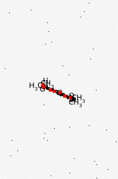 CCC(C)C(=O)CCCCCOCCCCCCCNC(=O)C(C)C